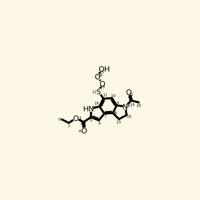 CCOC(=O)c1cc2c3c(cc(SOOO)c2[nH]1)N(C(C)=O)CC3